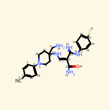 N#Cc1ccc(N2CCC(CN)(N/C=C(\C(=N)Nc3ccc(F)cc3)C(N)=O)CC2)cc1